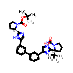 CC(C)(C)OC(=O)N1CCC[C@H]1c1ncc(-c2cccc(-c3cccc(-c4c[nH]c([C@@]5(C(C)(C)C)CCCN5C(=O)O)n4)c3)c2)[nH]1